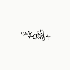 Cc1cc(N)nc(C)c1-c1ccc2nc(NC(=O)[C@@H]3C[C@@H]3F)sc2c1